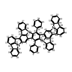 c1ccc(-c2c3c4cc5c(c6cccc7c8ccccc8n5c76)c5c6ccccc6n(c3c(-c3ccccc3)c3c6cc7c(c8cccc9c%10ccccc%10n7c98)c7c8ccccc8n(c23)c67)c45)cc1